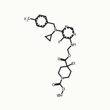 CCC1(C(=O)OCNc2ncnc(N(Cc3ccc(C(F)(F)F)cc3)C3CC3)c2F)CCN(C(=O)OC(C)(C)C)CC1